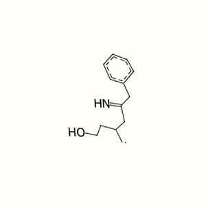 [CH2]C(CCO)CC(=N)Cc1ccccc1